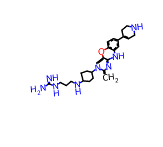 C=C1N=C2Nc3cc(C4=CCNCC4)ccc3OC2=CN1C1CCC(NCCCNC(=N)N)CC1